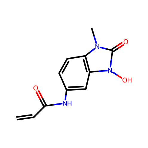 C=CC(=O)Nc1ccc2c(c1)n(O)c(=O)n2C